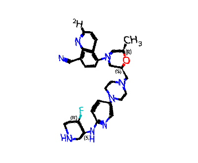 [2H]c1ccc2c(N3C[C@H](CN4CCN(c5ccc(N[C@H]6CNC[C@H]6F)nc5)CC4)O[C@H](C)C3)ccc(C#N)c2n1